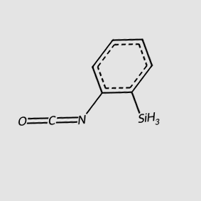 O=C=Nc1ccccc1[SiH3]